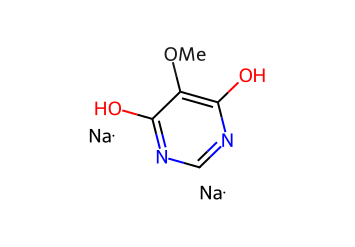 COc1c(O)ncnc1O.[Na].[Na]